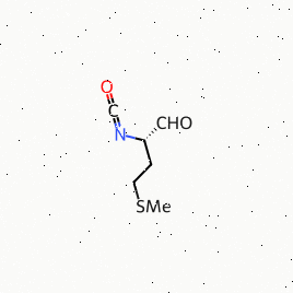 CSCC[C@@H](C=O)N=C=O